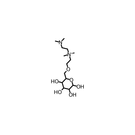 CN(C)CC[N+](C)(C)CCOCC1OC(O)C(O)C(O)C1O